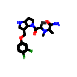 CC(C(N)=O)N(C)C(C(=O)N1CCC2NCC(COc3ccc(F)c(F)c3)C21)C(C)(C)C